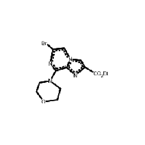 CCOC(=O)c1cn2cc(Br)nc(N3CCOCC3)c2n1